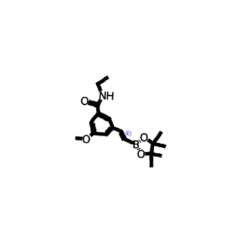 CCNC(=O)c1cc(/C=C/B2OC(C)(C)C(C)(C)O2)cc(OC)c1